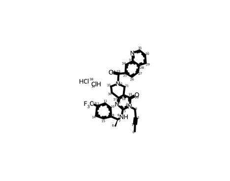 CC#CCn1c(N[C@@H](C)c2ccc(C(F)(F)F)cc2)nc2c(c1=O)CN(C(=O)c1ccc3cccnc3c1)CC2.Cl.Cl